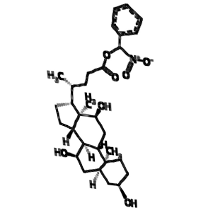 C[C@H](CCC(=O)OC(c1ccccc1)[N+](=O)[O-])[C@H]1CC[C@H]2[C@@H]3[C@H](O)C[C@@H]4C[C@H](O)CC[C@]4(C)[C@H]3C[C@H](O)[C@]12C